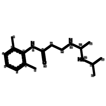 Cc1cccc(C)c1NC(=O)CCNC(C)NC(C)C